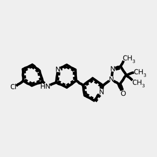 CC1=NN(c2cc(-c3ccnc(Nc4cccc(Cl)c4)c3)ccn2)C(=O)C1(C)C